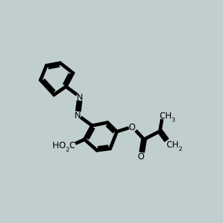 C=C(C)C(=O)Oc1ccc(C(=O)O)c(N=Nc2ccccc2)c1